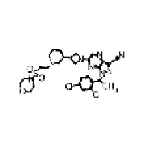 CC(c1ccc(Cl)cc1Cl)n1nc(C#N)c2ncc(N3CC(C4CCCN(CCS(=O)(=O)N5CCOCC5)C4)C3)nc21